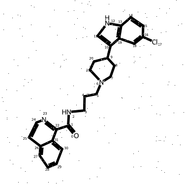 O=C(NCCCN1CCC(c2c[nH]c3ccc(Cl)cc23)CC1)c1nccc2ccccc12